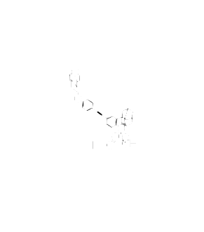 CCOC(OC)Oc1ccc(C#Cc2ccc(OCCN3CCOCC3)cc2)cc1C12CC3CC(CC(C3)C1)C2